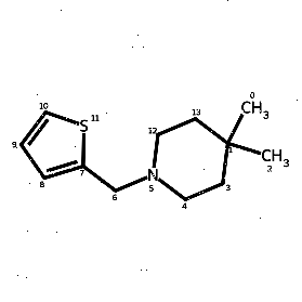 CC1(C)CCN(Cc2cccs2)CC1